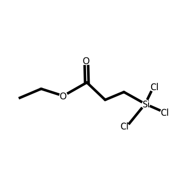 CCOC(=O)CC[Si](Cl)(Cl)Cl